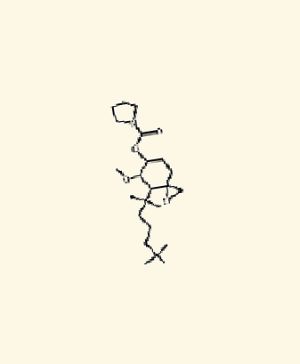 COC1C(OC(=O)N2CCCC2)CCC2(CO2)C1C(C)(C)CCCC(C)(C)C